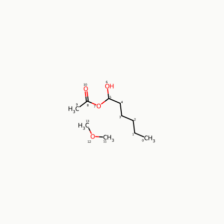 CCCCCC(O)OC(C)=O.COC